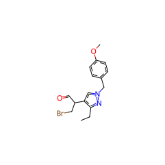 CCc1nn(Cc2ccc(OC)cc2)cc1C(C=O)CBr